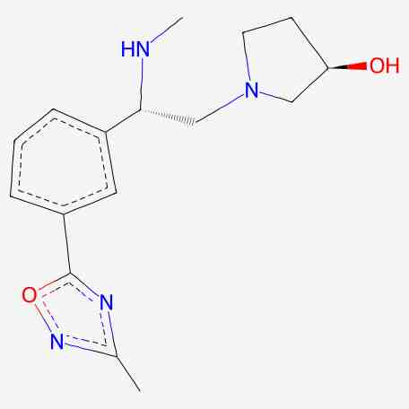 CN[C@H](CN1CC[C@@H](O)C1)c1cccc(-c2nc(C)no2)c1